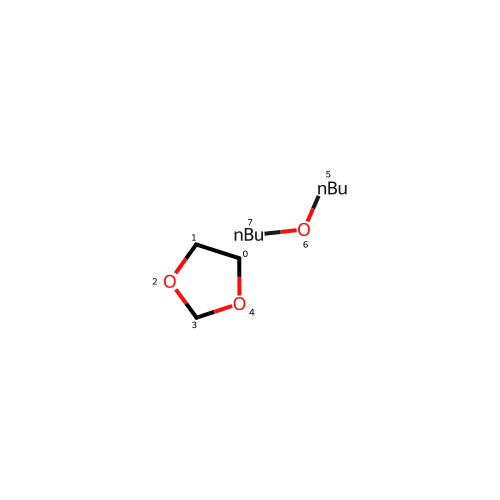 C1COCO1.CCCCOCCCC